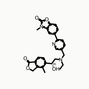 CCN(Cc1ccc(-c2ccc3oc(=O)n(C)c3c2)nc1)C[C@H](O)c1ccc2c(c1C)COC2=O